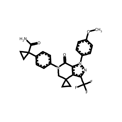 COc1ccc(-n2nc(C(F)(F)F)c3c2C(=O)N(c2ccc(C4(C(N)=O)CC4)cc2)CC32CC2)cc1